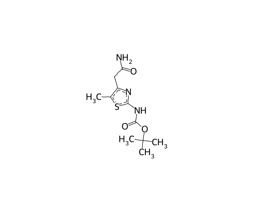 Cc1sc(NC(=O)OC(C)(C)C)nc1CC(N)=O